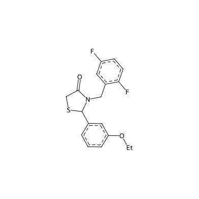 CCOc1cccc(C2SCC(=O)N2Cc2cc(F)ccc2F)c1